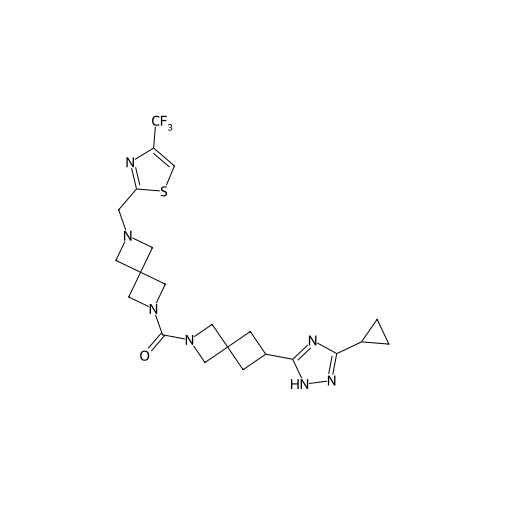 O=C(N1CC2(CC(c3nc(C4CC4)n[nH]3)C2)C1)N1CC2(CN(Cc3nc(C(F)(F)F)cs3)C2)C1